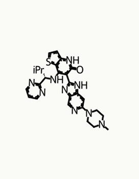 CC(C)[C@H](Nc1c(-c2nc3cnc(N4CCN(C)CC4)cc3[nH]2)c(=O)[nH]c2ccsc12)c1ncccn1